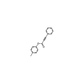 Cc1ccc(OC(=O)C#Cc2ccccc2)cc1